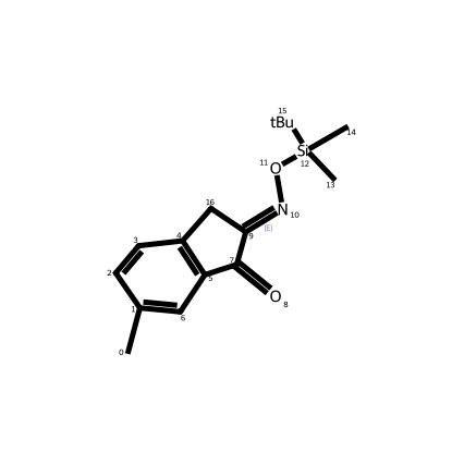 Cc1ccc2c(c1)C(=O)/C(=N/O[Si](C)(C)C(C)(C)C)C2